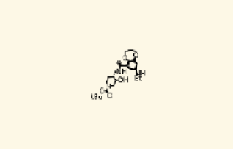 CCNc1cc2c(c(C(=O)NC[C@@H]3CCN(C(=O)OC(C)(C)C)CC3O)c1)OCCCO2